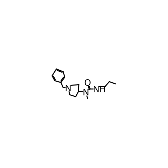 CCCCNC(=O)N(C)C1CCN(Cc2ccccc2)CC1